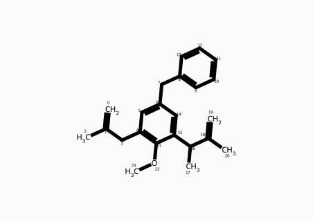 C=C(C)Cc1cc(Cc2ccccc2)cc(C(C)C(=C)C)c1OC